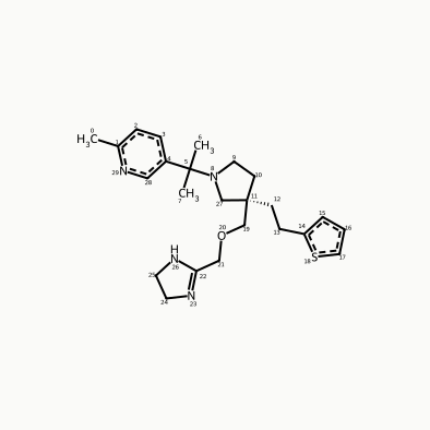 Cc1ccc(C(C)(C)N2CC[C@@](CCc3cccs3)(COCC3=NCCN3)C2)cn1